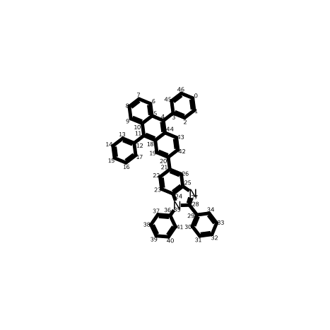 c1ccc(-c2c3ccccc3c(-c3ccccc3)c3cc(-c4ccc5c(c4)nc(-c4ccccc4)n5-c4ccccc4)ccc23)cc1